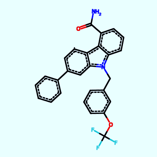 NC(=O)c1cccc2c1c1[c]cc(-c3ccccc3)cc1n2Cc1cccc(OC(F)(F)F)c1